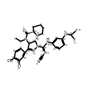 CCN(C(=O)[C@H]1CCCCN1)C1CN(/C(=N\C#N)Nc2cccc(OC(F)F)c2)N=C1c1ccc(Cl)c(Cl)c1